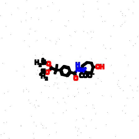 C[SiH2]OC(O[SiH2]C)C(C)(C)c1ccc(C(=O)N[N+]2(C(=O)[O-])CCCC(O)CC2)cc1